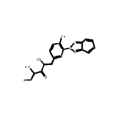 O=C(C(O)CO)C(O)Cc1ccc(O)c(-n2nc3ccccc3n2)c1